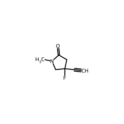 C#CC1(F)CC(=O)N(C)C1